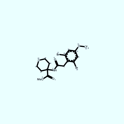 COC(=O)C1(NC(=O)Cc2c(Br)cc(OC(F)(F)F)cc2Br)CCOCC1